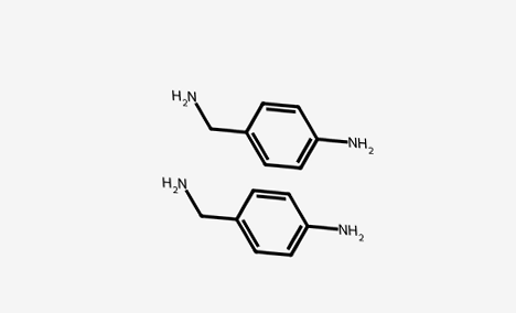 NCc1ccc(N)cc1.NCc1ccc(N)cc1